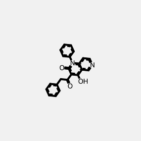 O=C(Cc1ccccc1)c1c(O)c2cnccc2n(-c2ccccc2)c1=O